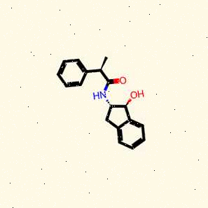 C[C@@H](C(=O)N[C@H]1Cc2ccccc2[C@@H]1O)c1ccccc1